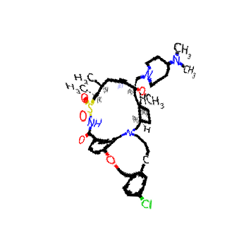 CO[C@@]1(CN2CCC(N(C)C)CC2)/C=C/C[C@H](C)[C@@H](C)S(=O)(=O)NC(=O)c2ccc3c(c2)N(CCCCc2cc(Cl)ccc2CO3)C[C@@H]2CC[C@H]21